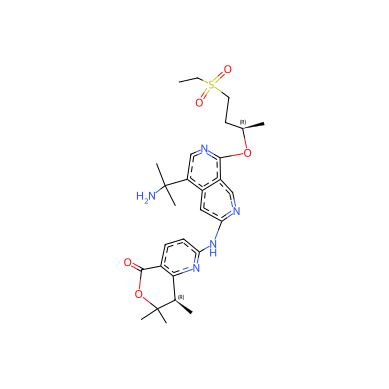 CCS(=O)(=O)CC[C@@H](C)Oc1ncc(C(C)(C)N)c2cc(Nc3ccc4c(n3)[C@@H](C)C(C)(C)OC4=O)ncc12